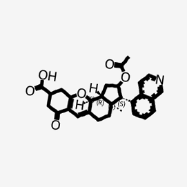 CC(=O)OC1C[C@H]2[C@@H]3OC4=C(C=C3CC[C@]2(C)[C@H]1c1cccc2cnccc12)C(=O)CC(C(=O)O)C4